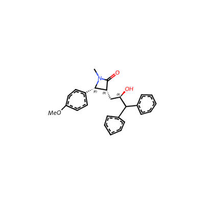 COc1ccc([C@H]2[C@@H](C[C@@H](O)C(c3ccccc3)c3ccccc3)C(=O)N2C)cc1